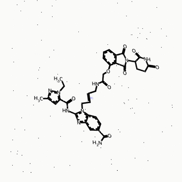 CCn1nc(C)cc1C(=O)Nc1nc2cc(C(N)=O)ccc2n1C/C=C/CNC(=O)COc1cccc2c1C(=O)N(C1CCC(=O)NC1=O)C2=O